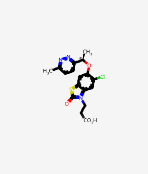 Cc1ccc([C@@H](C)Oc2cc3sc(=O)n(CCC(=O)O)c3cc2Cl)nn1